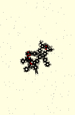 CC(C)(C)c1cc(-c2ccc3c(c2)B2c4cc(-c5cc(C(C)(C)C)cc(C(C)(C)C)c5)ccc4N(c4ccc(-c5ccccc5)cc4)c4cc(-c5ccc6c(c5)c5cc(-c7nc(-c8ccccc8)nc(-c8ccccc8)n7)ccc5n6-c5ccc(C#N)cc5-c5nc(-c6ccccc6)nc(-c6ccccc6)n5)cc(c42)N3c2ccc(-c3ccccc3)cc2)cc(C(C)(C)C)c1